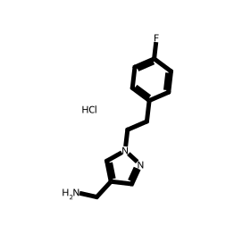 Cl.NCc1cnn(CCc2ccc(F)cc2)c1